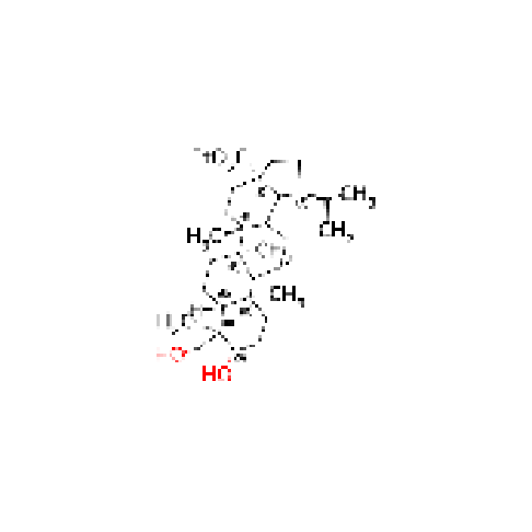 C=C(C)[C@@H]1CC[C@]2(C(=O)OCC)CC[C@]3(C)C(CCC4[C@@]5(C)CC[C@H](O)[C@@](C)(CO)[C@@H]5CC[C@]43C)C12